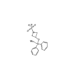 CC(C)(C)[Si](OC1CN(S(N)(=O)=O)C1)(c1ccccc1)c1ccccc1